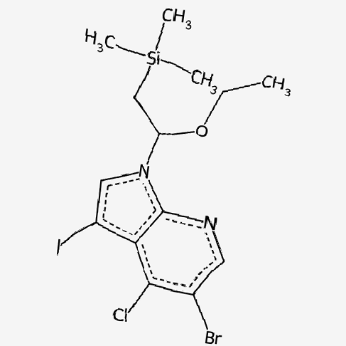 CCOC(C[Si](C)(C)C)n1cc(I)c2c(Cl)c(Br)cnc21